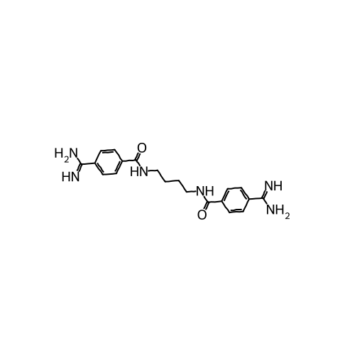 N=C(N)c1ccc(C(=O)NCCCCNC(=O)c2ccc(C(=N)N)cc2)cc1